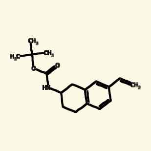 C=Cc1ccc2c(c1)CC(NC(=O)OC(C)(C)C)CC2